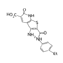 CCc1ccc(NC(=O)c2sc3[nH]c(=O)c(C(=O)O)cc3c2N)cc1